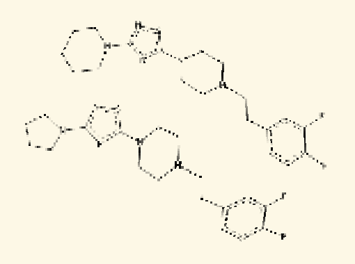 Fc1ccc(CCN2CCN(c3nc(N4CCCC4)ns3)CC2)cc1F.Fc1ccc(CCN2CCN(c3nc(N4CCCCC4)ns3)CC2)cc1F